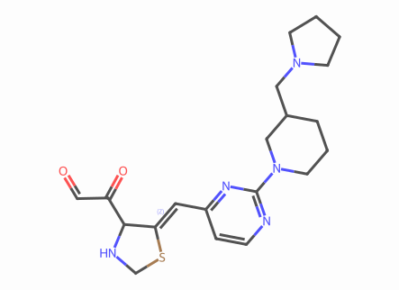 O=CC(=O)C1NCS/C1=C\c1ccnc(N2CCCC(CN3CCCC3)C2)n1